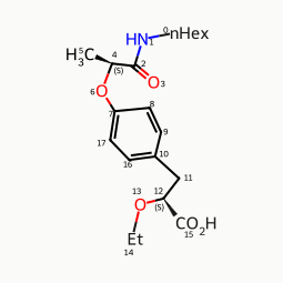 CCCCCCNC(=O)[C@H](C)Oc1ccc(C[C@H](OCC)C(=O)O)cc1